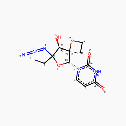 [N-]=[N+]=NC1(CI)O[C@@H](n2ccc(=O)[nH]c2=O)[C@@]2(CCS2)[C@@H]1O